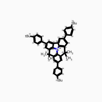 CC(C)(C)c1ccc(-c2cc3c4c(c2)C(C)(C)c2cc(-c5ccc(C(C)(C)C)cc5)cc5c6cc(-c7ccc(C(C)(C)C)cc7)cc(c6n-4c25)C3(C)C)cc1